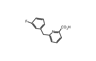 O=C(O)c1cccc(Cc2cccc(F)c2)n1